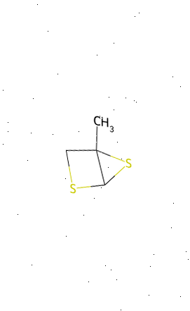 CC12CSC1S2